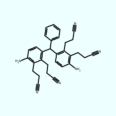 N#CCCc1c(N)ccc(C(c2ccccc2)c2ccc(N)c(CCC#N)c2CCC#N)c1CCC#N